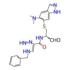 CN(C)c1cc2cn[nH]c2cc1SC[C@@H](C=O)NC(=O)/C(=C/NCc1ccccc1)N=N